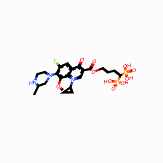 COc1c(N2CCNC(C)C2)c(F)cc2c(=O)c(C(=O)OCCCC(P(=O)(O)O)P(=O)(O)O)cn(C3CC3)c12